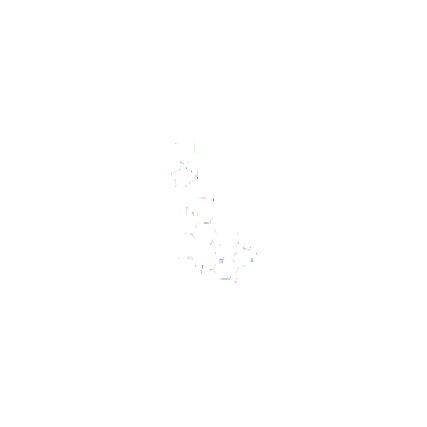 C[C@H](Nc1cnc2cnn(C)c2n1)c1cccc(NC(=O)c2ccn(C(F)F)n2)c1